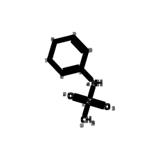 CS(=O)(=O)NC1=CCCC=C1